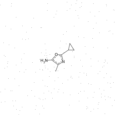 Cc1nc(C2CC2)oc1N